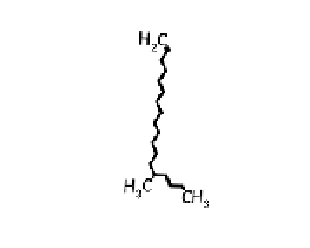 C=CCCCCCCCCCCCC(C)CCCC